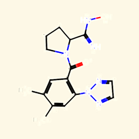 Cc1cc(C(=O)N2CCCC2C(=N)NO)c(-n2nccn2)cc1C